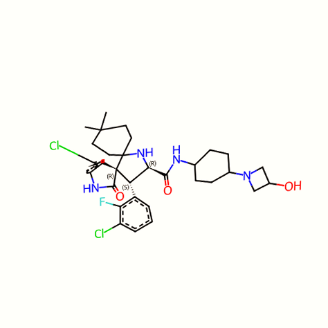 CC1(C)CCC2(CC1)N[C@@H](C(=O)NC1CCC(N3CC(O)C3)CC1)[C@H](c1cccc(Cl)c1F)[C@]21C(=O)Nc2cc(Cl)ccc21